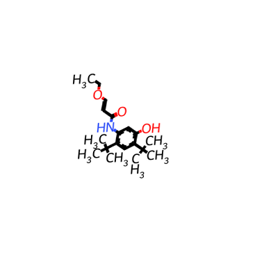 CCO/C=C/C(=O)Nc1cc(O)c(C(C)(C)C)cc1C(C)(C)C